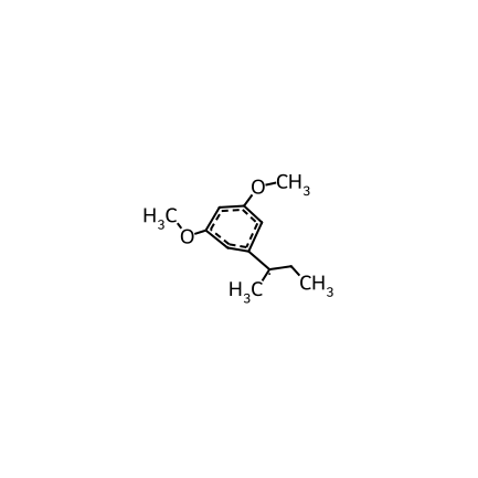 CC[C](C)c1cc(OC)cc(OC)c1